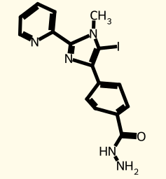 Cn1c(-c2ccccn2)nc(-c2ccc(C(=O)NN)cc2)c1I